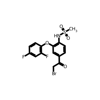 CS(=O)(=O)Nc1ccc(C(=O)CBr)cc1Oc1ccc(F)cc1F